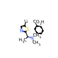 O=C(O)c1ccccc1.[Li][c]1cnc(C(C)N(C)C)s1